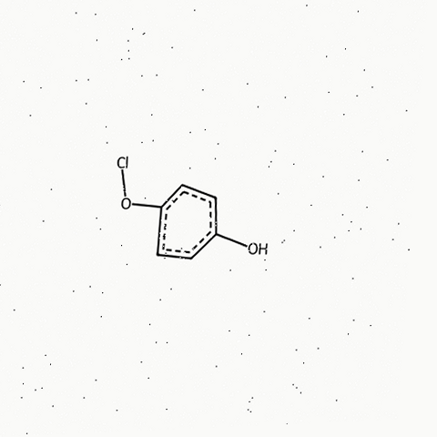 Oc1ccc(OCl)cc1